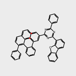 c1ccc(-c2nc(-c3cccc(-c4ccccc4-c4c(-c5ccccc5)ccc5ccccc45)c3)nc(-c3cccc4c3oc3ccccc34)n2)cc1